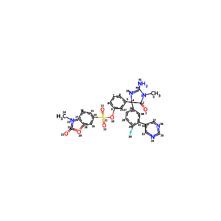 CN1C(=O)C(c2cccc(OS(=O)(=O)c3ccc4c(c3)oc(=O)n4C)c2)(c2ccc(F)c(-c3cncnc3)c2)N=C1N